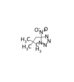 CC(C)(C)CC1([N+](=O)[O-])N=NN=N1